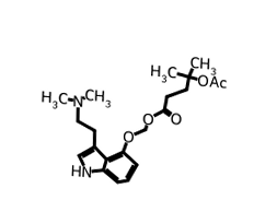 CC(=O)OC(C)(C)CCC(=O)OCOc1cccc2[nH]cc(CCN(C)C)c12